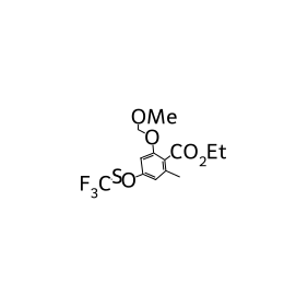 CCOC(=O)c1c(C)cc(OSC(F)(F)F)cc1OCOC